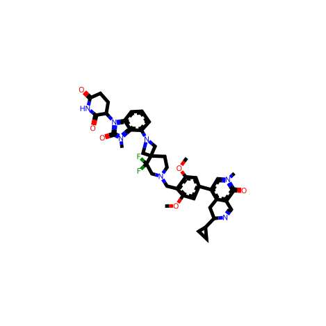 COc1cc(-c2cn(C)c(=O)c3c2CC(C2CC2)N=C3)cc(OC)c1CN1CCC2(CN(c3cccc4c3n(C)c(=O)n4C3CCC(=O)NC3=O)C2)C(F)(F)C1